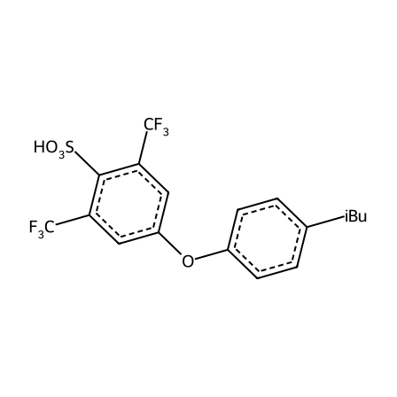 CCC(C)c1ccc(Oc2cc(C(F)(F)F)c(S(=O)(=O)O)c(C(F)(F)F)c2)cc1